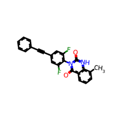 Cc1cccc2c(=O)n(-c3c(F)cc(C#Cc4ccccc4)cc3F)c(=O)[nH]c12